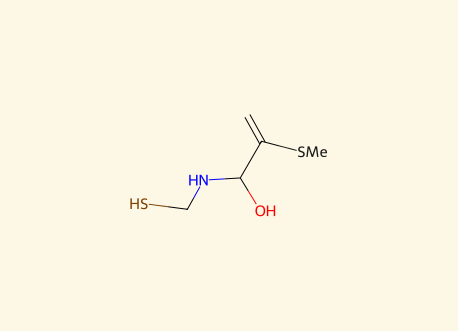 C=C(SC)C(O)NCS